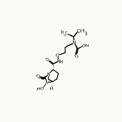 CC(C)N(CCONC(=O)[C@@H]1CC[C@@H]2CN1C(=O)N2O)C(=O)O